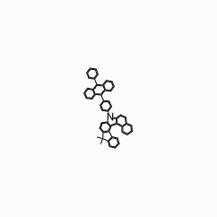 CC1(C)c2ccccc2-c2c1ccc1c2c2c3ccccc3ccc2n1-c1ccc(-c2c3ccccc3c(-c3ccccc3)c3ccccc23)cc1